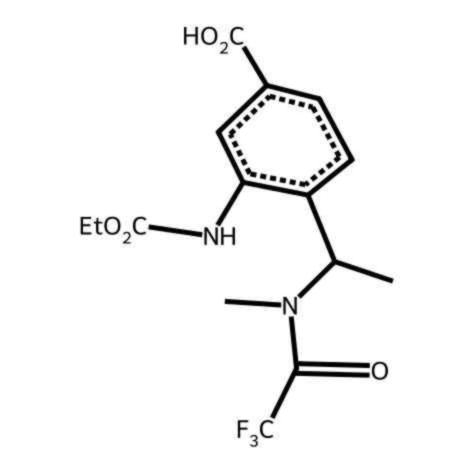 CCOC(=O)Nc1cc(C(=O)O)ccc1C(C)N(C)C(=O)C(F)(F)F